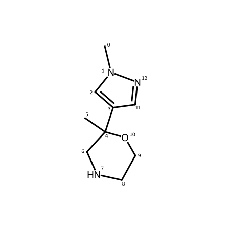 Cn1cc(C2(C)CNCCO2)cn1